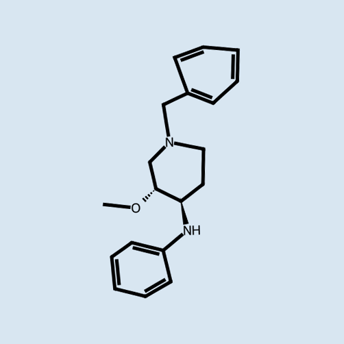 CO[C@@H]1CN(Cc2ccccc2)CC[C@H]1Nc1ccccc1